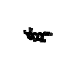 COC(=O)CN(Cc1cccc(F)c1Br)C(=O)C(C)(C)C